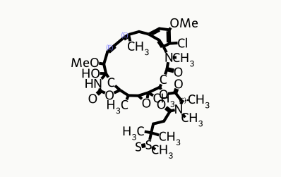 COc1cc2cc(c1Cl)N(C)C(=O)CC(OC(=O)[C@H](C)N(C)C(=O)CCC(C)(C)S(C)=S)C1(C)OC1C(C)C1CC(O)(NC(=O)O1)C(OC)/C=C/C=C(\C)C2